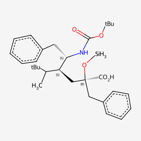 CC([C@H](C[C@](Cc1ccccc1)(O[SiH3])C(=O)O)[C@H](Cc1ccccc1)NC(=O)OC(C)(C)C)C(C)(C)C